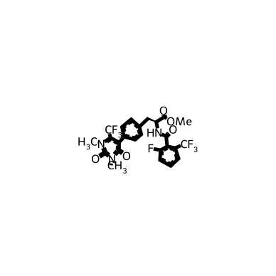 COC(=O)[C@H](Cc1ccc(-c2c(C(F)(F)F)n(C)c(=O)n(C)c2=O)cc1)NC(=O)c1c(F)cccc1C(F)(F)F